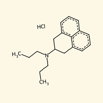 CCCN(CCC)C1Cc2cccc3cccc(c23)C1.Cl